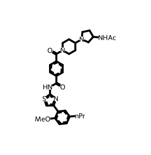 CCCc1ccc(OC)c(-c2csc(NC(=O)c3ccc(C(=O)N4CCC(N5CCC(NC(C)=O)C5)CC4)cc3)n2)c1